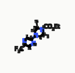 CCOC(=O)N1[C@H](C)CN(c2cnc(C(F)(F)F)cn2)C[C@@H]1C